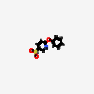 O=S(=O)=C1C=CC(Oc2ccccc2)=NC1